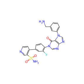 NCc1cccc(-n2cnc3ncn(-c4ccc(-c5ccncc5S(N)(=O)=O)cc4F)c(=O)c32)c1